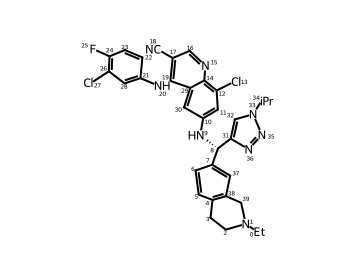 CCN1CCc2ccc([C@H](Nc3cc(Cl)c4ncc(C#N)c(Nc5ccc(F)c(Cl)c5)c4c3)c3cn(C(C)C)nn3)cc2C1